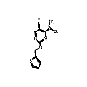 CCN(CC)c1nc(OCc2cccs2)ncc1F